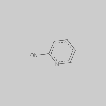 O=Nc1ccc[c]n1